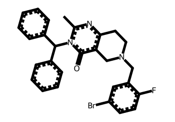 Cc1nc2c(c(=O)n1C(c1ccccc1)c1ccccc1)CN(Cc1cc(Br)ccc1F)CC2